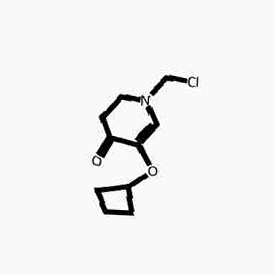 O=C1CCN(CCl)C=C1OC1CCC1